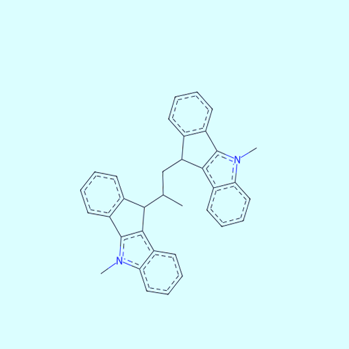 CC(CC1c2ccccc2-c2c1c1ccccc1n2C)C1c2ccccc2-c2c1c1ccccc1n2C